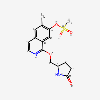 N#Cc1cc2ccnc(OCC3CCC(=O)N3)c2cc1OS(=O)(=O)C(F)(F)F